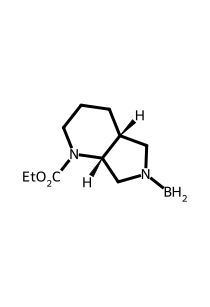 BN1C[C@H]2CCCN(C(=O)OCC)[C@H]2C1